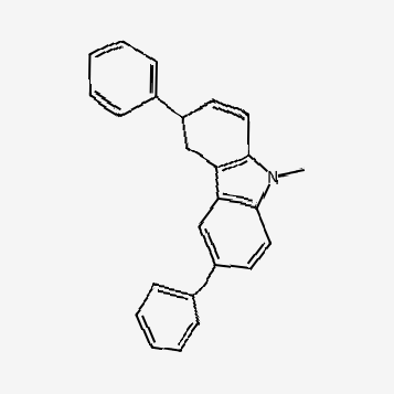 Cn1c2c(c3cc(-c4ccccc4)ccc31)CC(c1ccccc1)C=C2